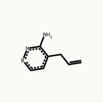 C=CCc1ccbnc1N